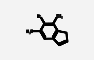 Cc1cc2c(c(C)c1Br)CC=C2